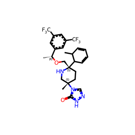 CC1C=CC=CC1[C@]1(CO[C@H](C)c2cc(C(F)(F)F)cc(C(F)(F)F)c2)CC[C@](C)(n2cn[nH]c2=O)CN1